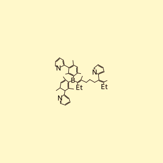 CC/C(B(C1=C(C)C(c2ccccn2)C(C)C=C1C)c1c(C)cc(C)c(-c2ccccn2)c1C)=C(/C)CCC/C(=C(/C)CC)c1ccccn1